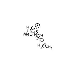 C=C(c1sc(NC(=O)c2ccc(CN(C)C)cc2)nc1C(=N)OC)N1CCOCC1